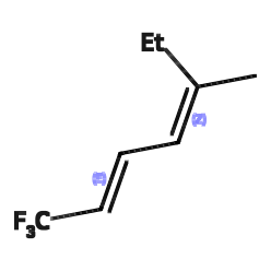 CC/C(C)=C\C=C\C(F)(F)F